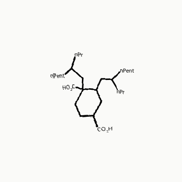 CCCCCC(CCC)CC1CC(C(=O)O)CCC1(CC(CCC)CCCCC)C(=O)O